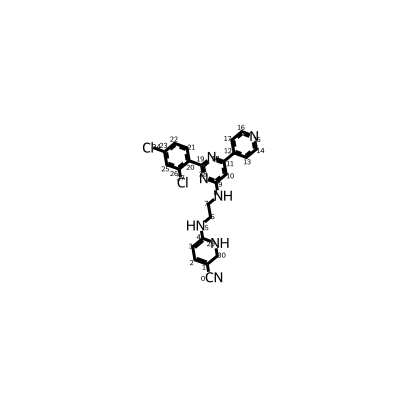 N#CC1=CC=C(NCCNc2cc(-c3ccncc3)nc(-c3ccc(Cl)cc3Cl)n2)NC1